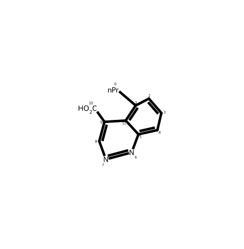 CCCc1cccc2nncc(C(=O)O)c12